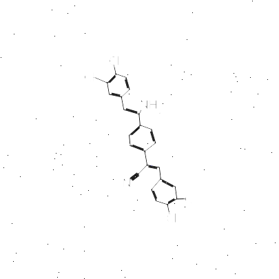 N#C/C(=C\c1ccc(Cl)c(Cl)c1)c1ccc(/C(N)=C/c2ccc(Cl)c(Cl)c2)cc1